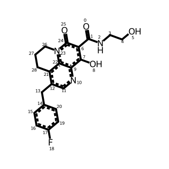 O=C(NCCO)c1c(O)c2ncc(Cc3ccc(F)cc3)c3c2n(c1=O)CCC3